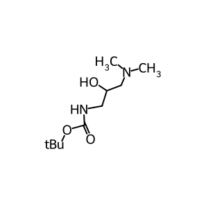 CN(C)CC(O)CNC(=O)OC(C)(C)C